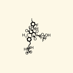 Cc1c(=O)n(C)c(Nc2ccc(I)cc2F)c2c(=O)n(C3CC3)c(=O)n(-c3cccc(CCNN[SH](=O)=O)c3)c12.O=C(O)C(F)(F)F